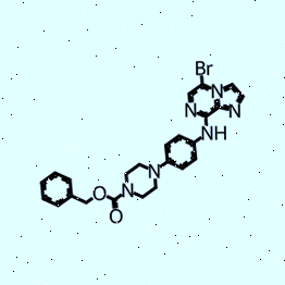 O=C(OCc1ccccc1)N1CCN(c2ccc(Nc3ncc(Br)n4ccnc34)cc2)CC1